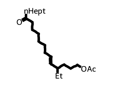 CCCCCCCC(=O)CCCCCC/C=C/C(CC)CCCOC(C)=O